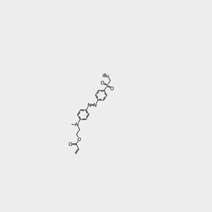 C=CC(=O)OCCN(C)c1ccc(/N=N/c2ccc(S(=O)(=O)CC(C)CC)cc2)cc1